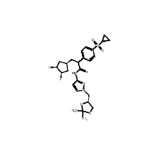 CC1(C)OC[C@H](Cn2ccc(NC(=O)C(C[C@H]3C[C@@H](F)[C@@H](F)C3)c3ccc(S(=O)(=O)C4CC4)cc3)n2)O1